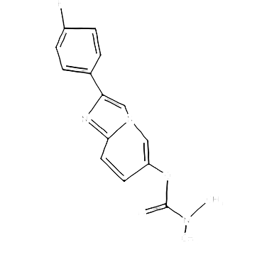 CN(C)C(=O)Oc1ccc2nc(-c3ccc(F)cc3)cn2c1